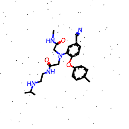 CNC(=O)CN(CC(=O)NCCNC(C)C)c1cc(C#N)ccc1Oc1ccc(C)cc1